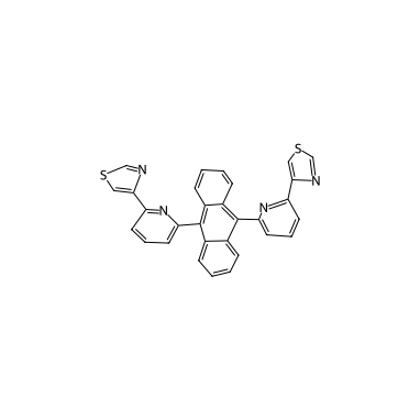 c1cc(-c2cscn2)nc(-c2c3ccccc3c(-c3cccc(-c4cscn4)n3)c3ccccc23)c1